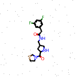 O=C(Cc1cc(F)cc(F)c1)NCC1CNC(C(=O)N2CCSC2)C1